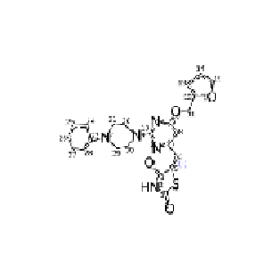 O=C1NC(=O)/C(=C\c2cc(OCc3ccco3)nc(N3CCN(c4ccccc4)CC3)n2)S1